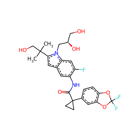 CC(C)(CO)c1cc2cc(NC(=O)C3(c4ccc5c(c4)OC(F)(F)O5)CC3)c(F)cc2n1C[C@H](O)CO